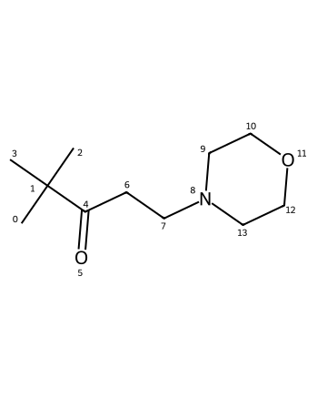 CC(C)(C)C(=O)CCN1CCOCC1